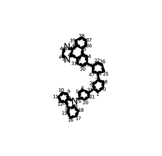 c1cc(-c2ccc(-n3c4ccccc4c4ccccc43)cc2)cc(-c2cccc(-c3ccc4c(c3)c3ccccc3c3nccnc43)c2)c1